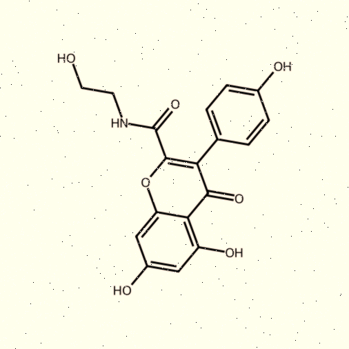 O=C(NCCO)c1oc2cc(O)cc(O)c2c(=O)c1-c1ccc(O)cc1